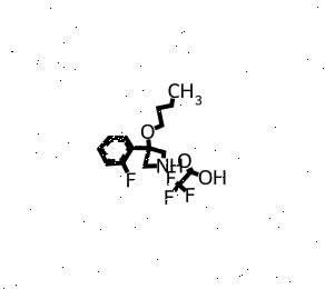 CCCCOC1(c2ccccc2F)CNC1.O=C(O)C(F)(F)F